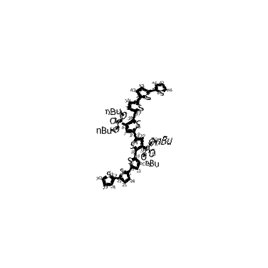 CCCCOP(=O)(OCCCC)c1cc(-c2cc(P(=O)(OCCCC)OCCCC)c(-c3ccc(-c4ccc(-c5cccs5)s4)s3)s2)sc1-c1ccc(-c2ccc(-c3cccs3)s2)s1